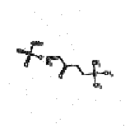 C=CC(=O)CC[N+](C)(C)C.COS(=O)(=O)[O-]